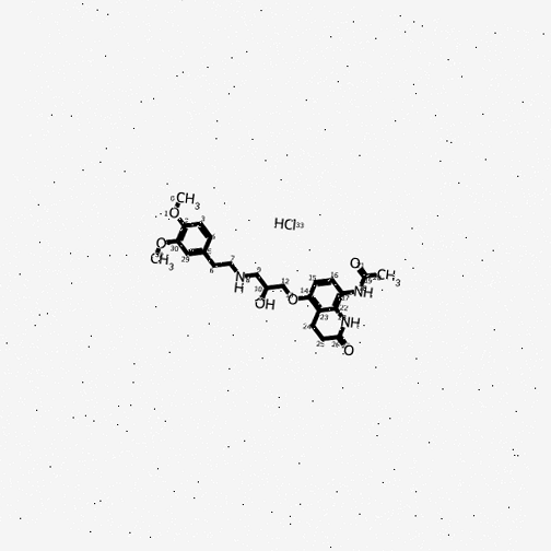 COc1ccc(CCNCC(O)COc2ccc(NC(C)=O)c3c2CCC(=O)N3)cc1OC.Cl